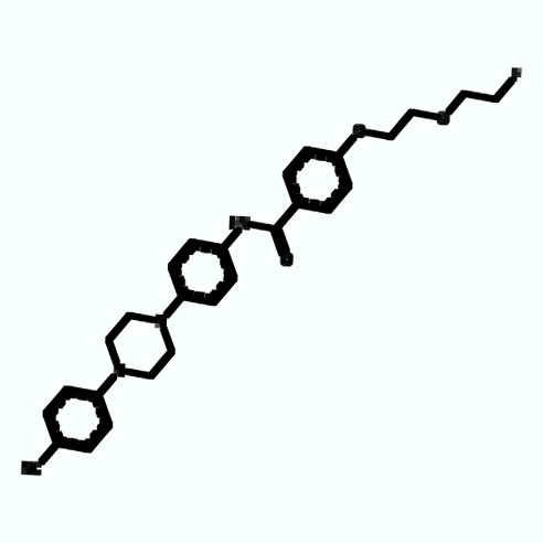 N#Cc1ccc(N2CCN(c3ccc(NC(=O)c4ccc(OCCOCCF)cc4)cc3)CC2)cc1